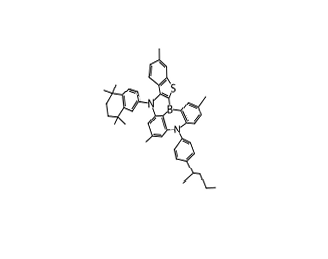 CCCC(C)c1ccc(N2c3ccc(C)cc3B3c4sc5cc(C)ccc5c4N(c4ccc5c(c4)C(C)(C)CCC5(C)C)c4cc(C)cc2c43)cc1